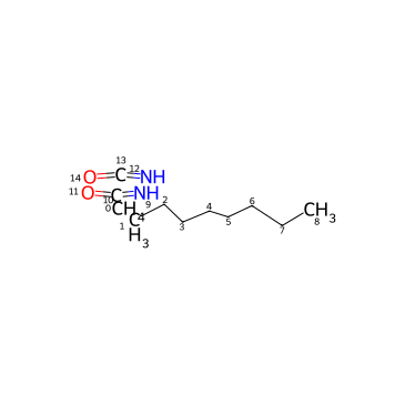 C.CCCCCCCC.N=C=O.N=C=O